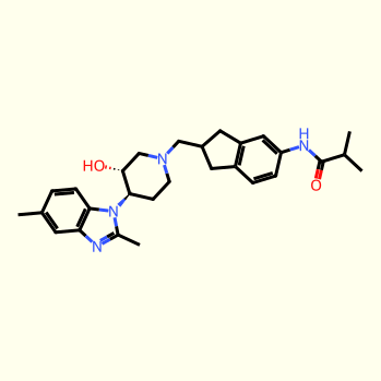 Cc1ccc2c(c1)nc(C)n2[C@@H]1CCN(CC2Cc3ccc(NC(=O)C(C)C)cc3C2)C[C@H]1O